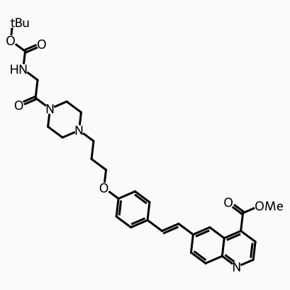 COC(=O)c1ccnc2ccc(/C=C/c3ccc(OCCCN4CCN(C(=O)CNC(=O)OC(C)(C)C)CC4)cc3)cc12